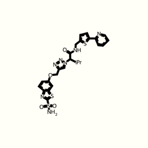 CC(C)C(C(=O)NCc1ccc(-c2ccccn2)s1)n1cc(COc2ccc3nc(S(N)(=O)=O)sc3c2)nn1